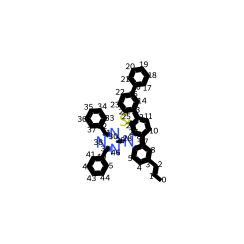 C/C=C/c1ccc2c(c1)c1ccc3c4cc(-c5ccccc5)ccc4sc3c1n2-c1nc(-c2ccccc2)nc(-c2ccccc2)n1